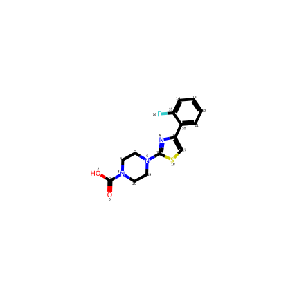 O=C(O)N1CCN(c2nc(-c3ccccc3F)cs2)CC1